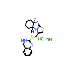 C1=C(CSC2=Nc3ccccc3CN2)N2C(=N[C@@H]3CCCC[C@H]32)S1.Cl.Cl